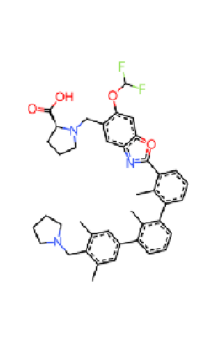 Cc1cc(-c2cccc(-c3cccc(-c4nc5cc(CN6CCC[C@H]6C(=O)O)c(OC(F)F)cc5o4)c3C)c2C)cc(C)c1CN1CCCC1